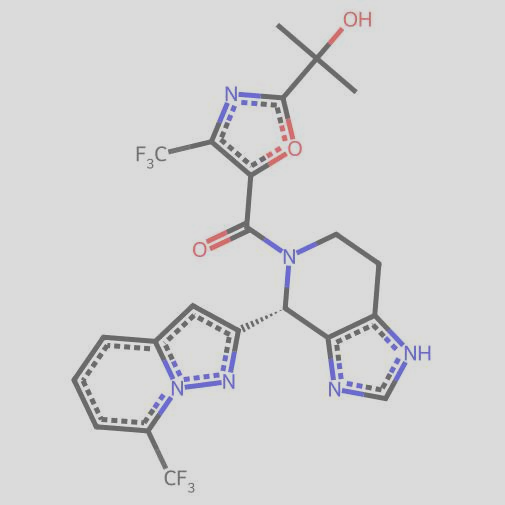 CC(C)(O)c1nc(C(F)(F)F)c(C(=O)N2CCc3[nH]cnc3[C@@H]2c2cc3cccc(C(F)(F)F)n3n2)o1